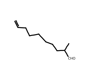 C=CCCCCCCC(C)C=O